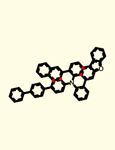 c1ccc(-c2ccc(-c3ccc(N(c4ccccc4-c4ccc5ccccc5c4)c4ccccc4-c4ccc5c(c4)oc4ccccc45)cc3)cc2)cc1